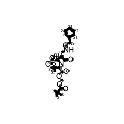 CC(C)(C)C(=O)OCOC(=O)[C@@H]1N2C(=O)[C@@H](CNOCc3ccccc3)[C@H]2S(=O)(=O)C1(C)C